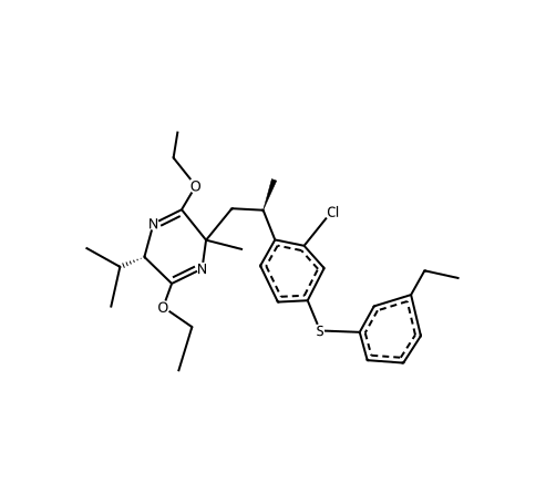 CCOC1=NC(C)(C[C@@H](C)c2ccc(Sc3cccc(CC)c3)cc2Cl)C(OCC)=N[C@H]1C(C)C